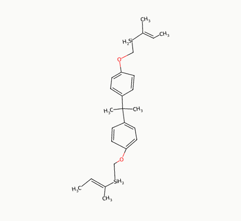 CC=C(C)[SiH2]COc1ccc(C(C)(C)c2ccc(OC[SiH2]C(C)=CC)cc2)cc1